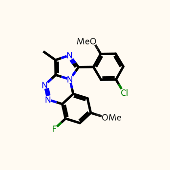 COc1cc(F)c2nnc3c(C)nc(-c4cc(Cl)ccc4OC)n3c2c1